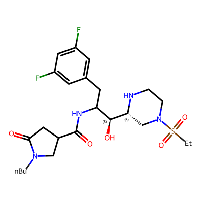 CCCCN1CC(C(=O)NC(Cc2cc(F)cc(F)c2)[C@H](O)[C@H]2CN(S(=O)(=O)CC)CCN2)CC1=O